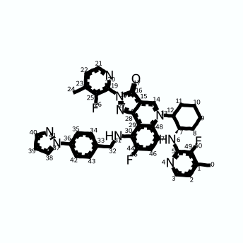 Cc1ccnc(N[C@H]2CCCCC2n2cc3c(=O)n(-c4nccc(C)c4F)nc-3c3c(NCc4ccc(-n5cccn5)cc4)c(F)ccc32)c1F